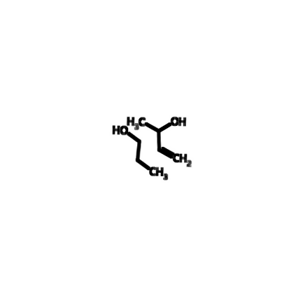 C=CC(C)O.CCCO